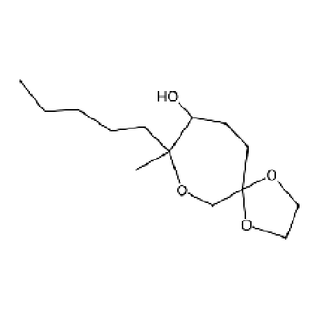 CCCCCC1(C)OCC2(CCC1O)OCCO2